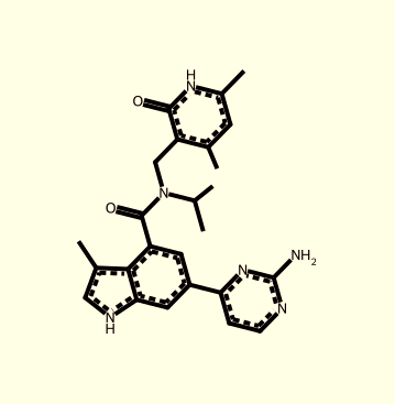 Cc1cc(C)c(CN(C(=O)c2cc(-c3ccnc(N)n3)cc3[nH]cc(C)c23)C(C)C)c(=O)[nH]1